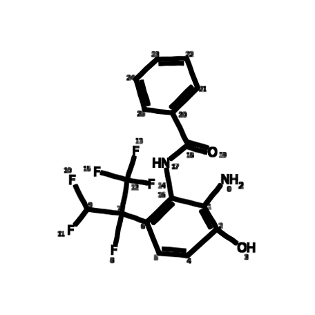 Nc1c(O)ccc(C(F)(C(F)F)C(F)(F)F)c1NC(=O)c1ccccc1